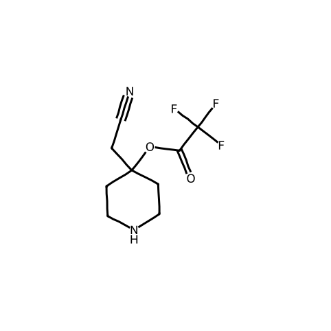 N#CCC1(OC(=O)C(F)(F)F)CCNCC1